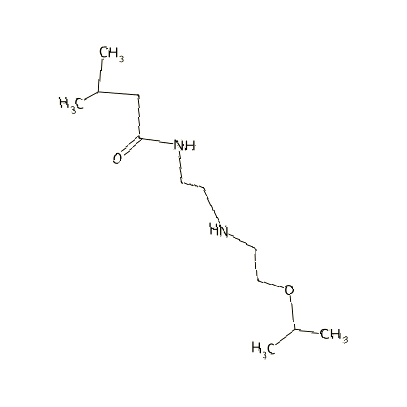 CC(C)CC(=O)NCCNCCOC(C)C